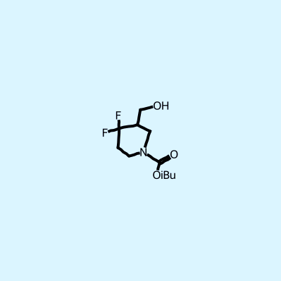 CC(C)COC(=O)N1CCC(F)(F)C(CO)C1